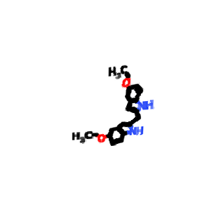 CCOc1ccc2[nH]c(Cc3cc4cc(OCC)ccc4[nH]3)cc2c1